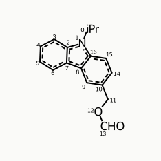 CC(C)n1c2ccccc2c2cc(COC=O)ccc21